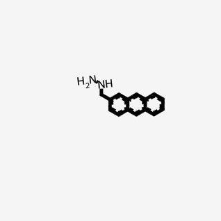 NNCc1ccc2cc3ccccc3cc2c1